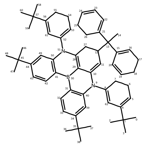 CC(C)(C)C1=CCCC(N2C3=CC(C(C)(C4=CCCC=C4)C4=CC=CCC4)CC4=C3B(c3ccc(C(C)(C)C)cc32)c2ccc(C(C)(C)C)cc2N4C2=CCCC(C(C)(C)C)=C2)=C1